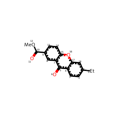 CCc1ccc2c(=O)c3cc(C(=O)OC)ccc3oc2c1